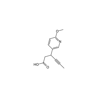 CC#CC(CC(=O)O)c1ccc(OC)nc1